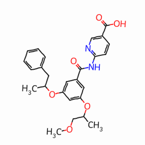 COCC(C)Oc1cc(OC(C)Cc2ccccc2)cc(C(=O)Nc2ccc(C(=O)O)cn2)c1